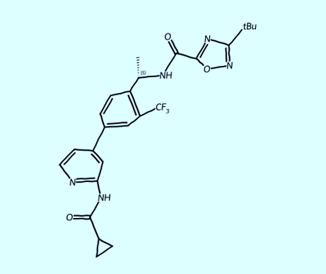 C[C@H](NC(=O)c1nc(C(C)(C)C)no1)c1ccc(-c2ccnc(NC(=O)C3CC3)c2)cc1C(F)(F)F